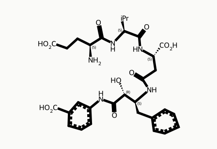 CC(C)[C@H](NC(=O)[C@@H](N)CCC(=O)O)C(=O)N[C@@H](CC(=O)N[C@@H](Cc1ccccc1)[C@@H](O)C(=O)Nc1cccc(C(=O)O)c1)C(=O)O